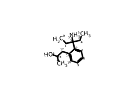 CCC(N)(CC)c1ccccc1CC(C)O